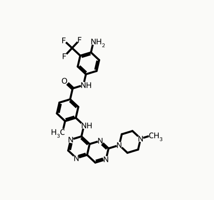 Cc1ccc(C(=O)Nc2ccc(N)c(C(F)(F)F)c2)cc1Nc1ncnc2cnc(N3CCN(C)CC3)nc12